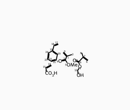 C=C(C)C(=O)OC.C=C(C)C(=O)OCO.C=CC(=O)O.C=Cc1ccccc1